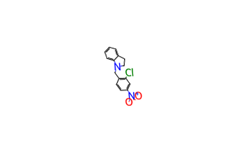 O=[N+]([O-])c1ccc(CN2CCc3ccccc32)c(Cl)c1